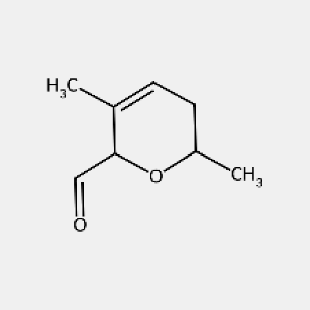 CC1=CCC(C)OC1C=O